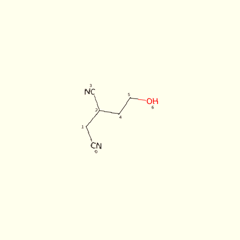 N#CCC(C#N)CCO